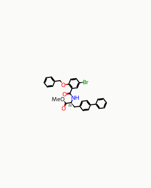 COC(=O)[C@H](Cc1ccc(-c2ccccc2)cc1)NC(=O)c1cc(Br)ccc1OCc1ccccc1